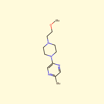 CC(C)(C)OCCN1CCN(c2cnc(C(C)(C)C)cn2)CC1